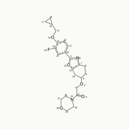 O=C(COC1CCc2nc(-c3ccc(OCC4CC4)c(F)c3)oc2C1)N1CCOCC1